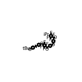 CC(C)c1c(F)c(F)c(C(=O)c2ccc(Oc3ccc(C(=O)c4c(F)c(F)c(Oc5ccc(C(C)(C)c6ccc(OC(C)(C)C)cc6)cc5)c(F)c4F)cc3)cc2)c(F)c1F